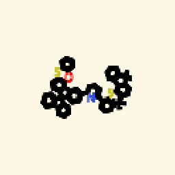 CC1(C)c2ccccc2-c2c1ccc1c2Sc2c(-c3cccc(-c4ccc5c(c4)-c4c(ccc6c4Oc4ccccc4S6)C5(c4ccccc4)c4ccccc4)n3)cccc2[Si]1(C)C